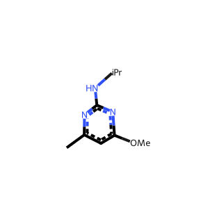 COc1cc(C)nc(NC(C)C)n1